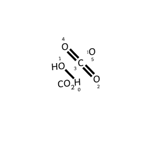 O=C(O)O.O=C=O.[O]